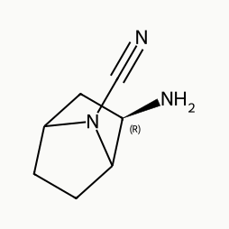 N#CN1C2CCC1[C@H](N)C2